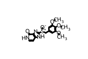 COc1cc(C[S+]([O-])c2nc3c(=O)[nH]ccc3[nH]2)cc(OC)c1OC